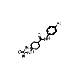 CCC(C)[SH](C)(=O)NC1CCC(C(=O)Nc2ccc(C(C)=O)cc2)CC1